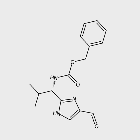 CC(C)[C@H](NC(=O)OCc1ccccc1)c1nc(C=O)c[nH]1